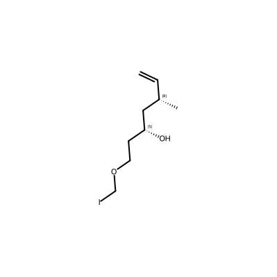 C=C[C@H](C)C[C@H](O)CCOCI